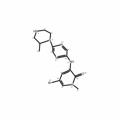 CC1CNCCN1c1cnc(Nc2cc(Br)cn(C)c2=O)cn1